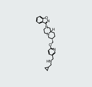 c1ccc2c(N3CCN4C[C@H](COc5ccc(CNCC6CC6)cn5)CC[C@H]4C3)noc2c1